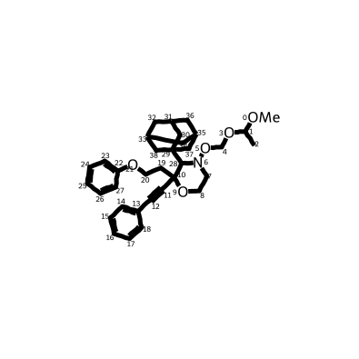 COC(C)OCON1CCOC(C#Cc2ccccc2)(CCOc2ccccc2)C1C12CC3CC(CC(C3)C1)C2